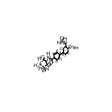 COc1ccc(-c2ccc(C(=O)N[C@H](C(=O)NO)[C@@H](C)O)cc2)cc1CNO